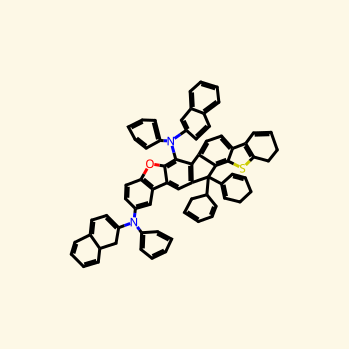 C1=CCC(C2(C3=CCCC=C3)c3cc4c(oc5ccc(N(C6=CC=C7C=CC=CC7C6)c6ccccc6)cc54)c(N(c4ccccc4)c4ccc5ccccc5c4)c3-c3ccc4c5c(sc4c32)CCC=C5)C=C1